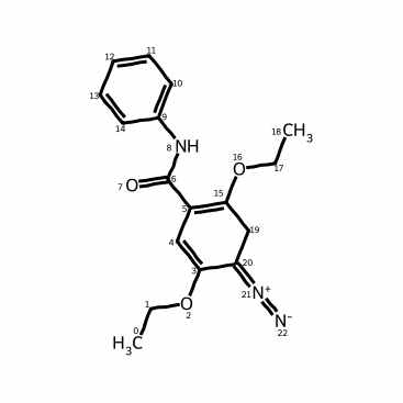 CCOC1=CC(C(=O)Nc2ccccc2)=C(OCC)CC1=[N+]=[N-]